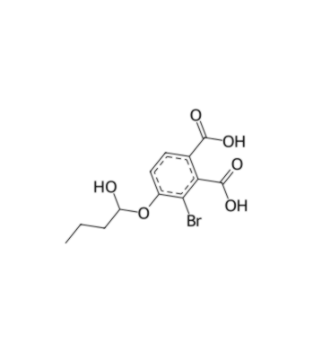 CCCC(O)Oc1ccc(C(=O)O)c(C(=O)O)c1Br